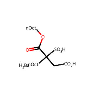 CCCCCCCCOC(=O)C(CCCCCCCC)(CC(=O)O)S(=O)(=O)O.[BaH2]